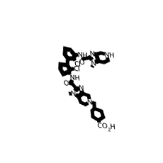 Cn1c(C(=O)Nc2cccc(-c3cccc(NC(=O)c4nc5c(n4C)CCN(CC4CCC(C(=O)O)CC4)C5)c3Cl)c2Cl)nc2c1CCNC2